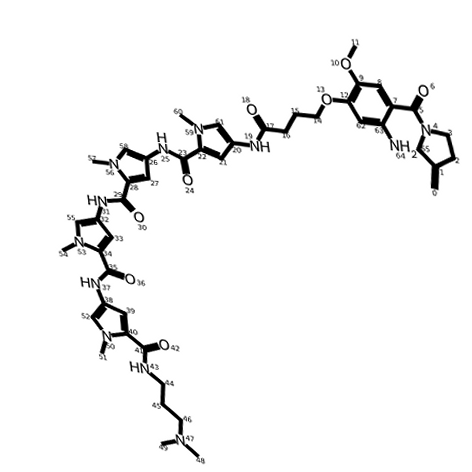 C=C1CCN(C(=O)c2cc(OC)c(OCCCC(=O)Nc3cc(C(=O)Nc4cc(C(=O)Nc5cc(C(=O)Nc6cc(C(=O)NCCCN(C)C)n(C)c6)n(C)c5)n(C)c4)n(C)c3)cc2N)C1